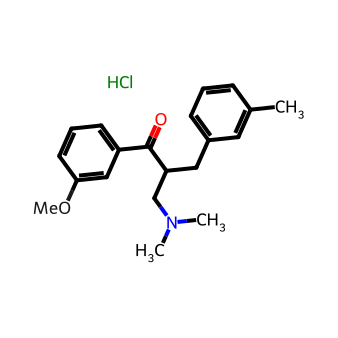 COc1cccc(C(=O)C(Cc2cccc(C)c2)CN(C)C)c1.Cl